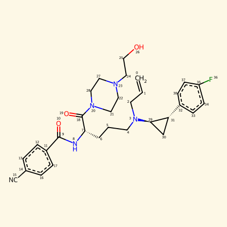 C=CCN(CCC[C@H](NC(=O)c1ccc(C#N)cc1)C(=O)N1CCN(CCO)CC1)[C@@H]1C[C@H]1c1ccc(F)cc1